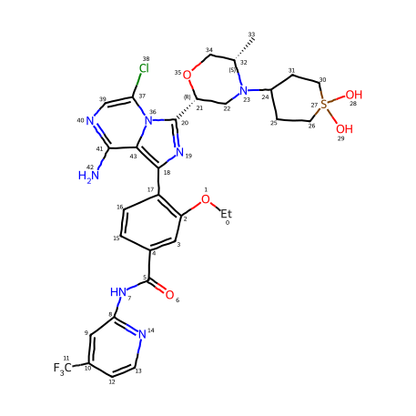 CCOc1cc(C(=O)Nc2cc(C(F)(F)F)ccn2)ccc1-c1nc([C@H]2CN(C3CCS(O)(O)CC3)[C@@H](C)CO2)n2c(Cl)cnc(N)c12